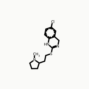 CN1CCCC1CCSC1=NCc2cc(Cl)ccc2N1